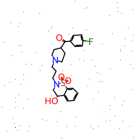 O=C(c1ccc(F)cc1)C1CCN(CCCN2CC(O)c3ccccc3S2(=O)=O)CC1